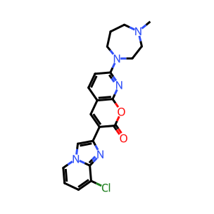 CN1CCCN(c2ccc3cc(-c4cn5cccc(Cl)c5n4)c(=O)oc3n2)CC1